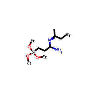 CCO[Si](CCC(N)N=C(C)CC(C)C)(OCC)OCC